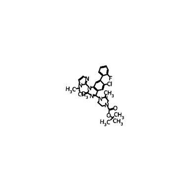 CC(C)n1ccnc1-n1c(=O)nc(N2CCN(C(=O)OC(C)(C)C)C[C@@H]2C)c2cc(Cl)c(-c3ccccc3F)cc21